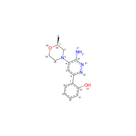 C[C@H]1CN(c2cc(-c3ccccc3O)nnc2N)CCO1